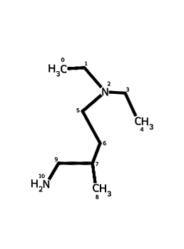 CCN(CC)CCC(C)CN